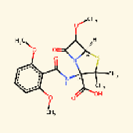 COc1cccc(OC)c1C(=O)N[C@@]1(C(=O)O)N2C(=O)C(OC)[C@H]2SC1(C)C